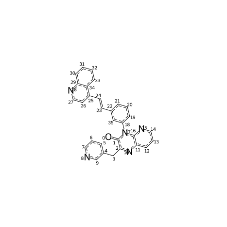 O=c1c(Cc2cccnc2)nc2cccnc2n1-c1cccc(/C=C/c2ccnc3ccccc23)c1